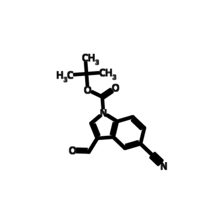 CC(C)(C)OC(=O)n1cc(C=O)c2cc(C#N)ccc21